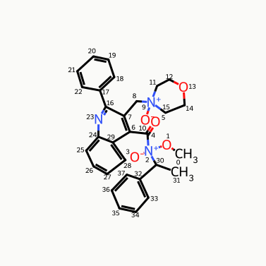 CO[N+]([O-])(C(=O)c1c(C[N+]2([O-])CCOCC2)c(-c2ccccc2)nc2ccccc12)C(C)c1ccccc1